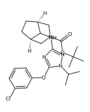 CC(C)n1nc(NC2[C@@H]3CC[C@H]2CN(C(=O)OC(C)(C)C)C3)nc1Oc1cccc(Cl)c1